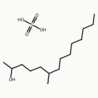 CCCCCCCCC(C)CCCC(C)O.O=S(=O)(O)O